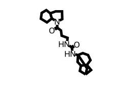 O=C(NCCCC(=O)N1CCCC2CCCCC21)NC12CCCC3CC(CC3C1)C2